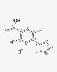 Cl.O=C(O)c1cc(F)c(-n2cccc2)cc1F